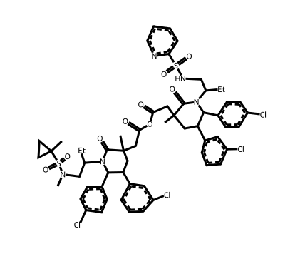 CCC(CNS(=O)(=O)c1ccccn1)N1C(=O)C(C)(CC(=O)OC(=O)CC2(C)CC(c3cccc(Cl)c3)C(c3ccc(Cl)cc3)N(C(CC)CN(C)S(=O)(=O)C3(C)CC3)C2=O)CC(c2cccc(Cl)c2)C1c1ccc(Cl)cc1